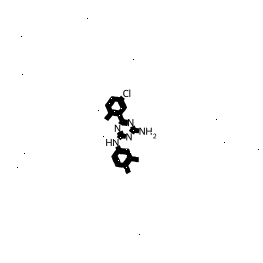 Cc1ccc(Nc2nc(N)nc(-c3cc(Cl)ccc3C)n2)cc1C